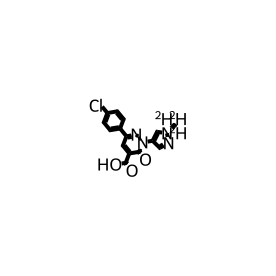 [2H]C([2H])([2H])n1cc(-n2nc(-c3ccc(Cl)cc3)cc(C(=O)O)c2=O)cn1